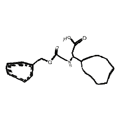 O=C(N[C@@H](C(=O)O)C1CCCCCC1)OCc1ccccc1